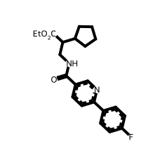 CCOC(=O)C(CNC(=O)c1ccc(-c2ccc(F)cc2)nc1)C1CCCC1